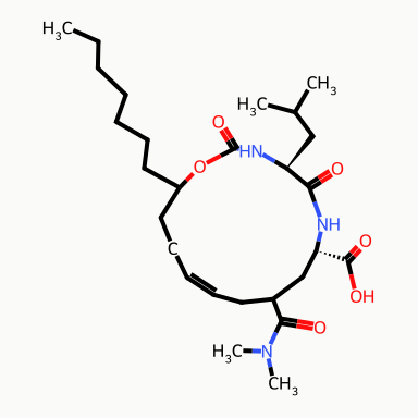 CCCCCCCC1CC/C=C\CC(C(=O)N(C)C)C[C@@H](C(=O)O)NC(=O)[C@H](CC(C)C)NC(=O)O1